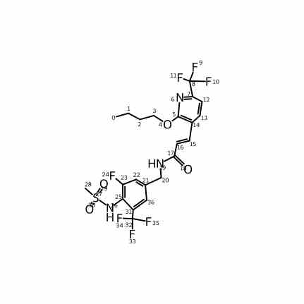 CCCCOc1nc(C(F)(F)F)ccc1C=CC(=O)NCc1cc(F)c(NS(C)(=O)=O)c(C(F)(F)F)c1